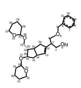 OCC(COCc1ccccc1)C1=CC2C[C@@H](OC3CCCCO3)[C@H](COC3CCCCO3)C2C1